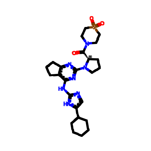 O=C([C@@H]1CCCN1c1nc2c(c(Nc3ncc(C4CCCCC4)[nH]3)n1)CCC2)N1CCS(=O)(=O)CC1